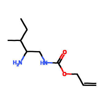 C=CCOC(=O)NCC(N)C(C)CC